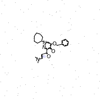 CN(C)/C=C/C(=O)c1nn(C2CCCCCC2)cc(OCc2ccccc2)c1=O